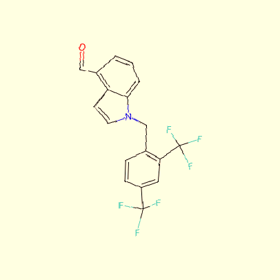 O=Cc1cccc2c1ccn2Cc1ccc(C(F)(F)F)cc1C(F)(F)F